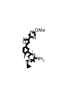 COc1cnc(-c2cc(-c3ccc(F)c([C@]4(C)C/S(=N/C5CC5)C(C)(C)C(N)=N4)c3)on2)cn1